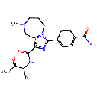 CNC(=O)C(NC(=O)c1nc(C2=CC=C(C(N)=O)CC2)n2c1CN(C)CCC2)C(C)(C)C